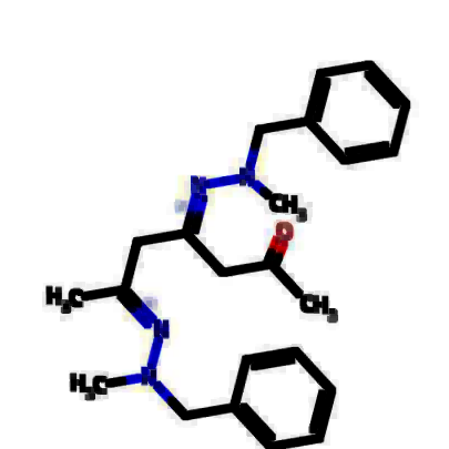 CC(=O)C/C(C/C(C)=N/N(C)Cc1ccccc1)=N\N(C)Cc1ccccc1